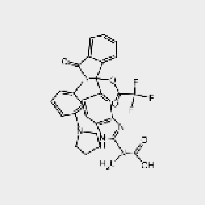 CN(C(=O)O)c1nc2cc(C3(OC(=O)C(F)(F)F)c4ccccc4C(=O)N3c3cccc(N4CCCC4)c3)ccc2[nH]1